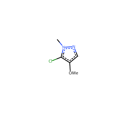 COc1[c]nn(C)c1Cl